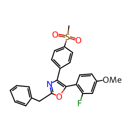 COc1ccc(-c2oc(Cc3ccccc3)nc2-c2ccc(S(C)(=O)=O)cc2)c(F)c1